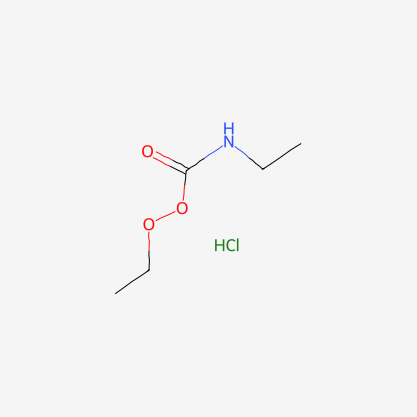 CCNC(=O)OOCC.Cl